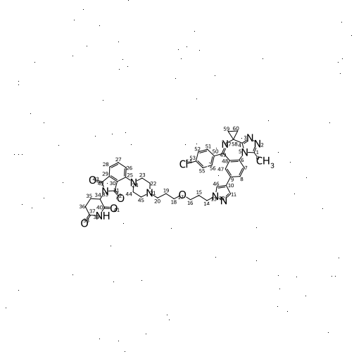 Cc1nnc2n1-c1ccc(-c3cnn(CCCOCCCN4CCN(c5cccc6c5C(=O)N(C5CCC(=O)NC5=O)C6=O)CC4)c3)cc1C(c1ccc(Cl)cc1)=NC21CC1